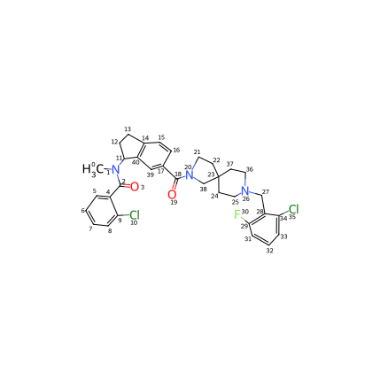 CN(C(=O)c1ccccc1Cl)C1CCc2ccc(C(=O)N3CCC4(CCN(Cc5c(F)cccc5Cl)CC4)C3)cc21